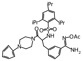 CC(=O)ON=C(N)c1cccc(CC(NS(=O)(=O)c2c(C(C)C)cc(C(C)C)cc2C(C)C)C(=O)N2CCN(c3ccccc3)CC2)c1